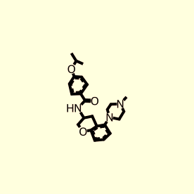 CC(C)Oc1ccc(C(=O)NC2COc3cccc(N4CCN(C)CC4)c3C2)cc1